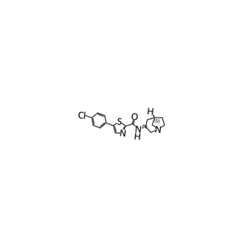 O=C(N[C@@H]1C[C@@H]2CCN(C2)C1)c1ncc(-c2ccc(Cl)cc2)s1